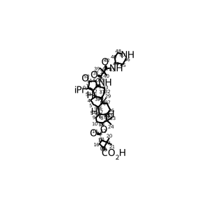 CC(C)C1=C2[C@H]3CC[C@@H]4[C@@]5(C)CC[C@H](OC(=O)[C@H]6C[C@@H](C(=O)O)C6(C)C)C(C)(C)[C@@H]5CC[C@@]4(C)[C@]3(C)CC[C@@]2(NC(=O)C(C)(C)C(=O)NC2CCNCC2)CC1=O